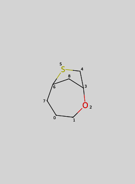 C1COC2CSC(C1)C2